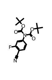 CC(C)(C)OC(=O)N(C(=O)OC(C)(C)C)c1ccc(C#N)c(F)c1